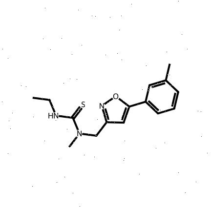 CCNC(=S)N(C)Cc1cc(-c2cccc(C)c2)on1